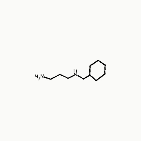 NCCCNCC1CCCCC1